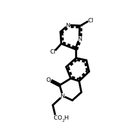 O=C(O)CN1CCc2ccc(-c3nc(Cl)ncc3Cl)cc2C1=O